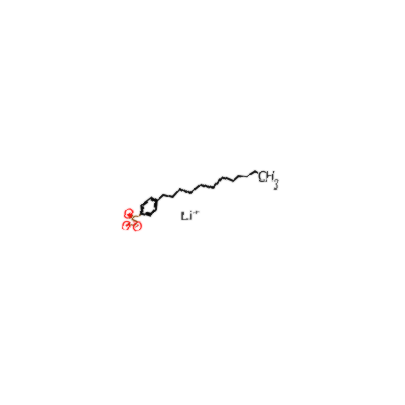 CCCCCCCCCCCCc1ccc(S(=O)(=O)[O-])cc1.[Li+]